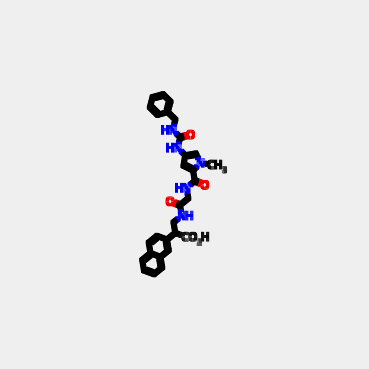 Cn1cc(NC(=O)NCc2ccccc2)cc1C(=O)NCC(=O)NCC(C(=O)O)c1ccc2ccccc2c1